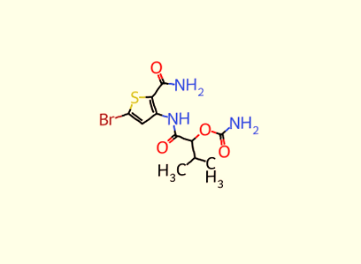 CC(C)C(OC(N)=O)C(=O)Nc1cc(Br)sc1C(N)=O